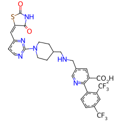 O=C1NC(=O)/C(=C\c2ccnc(N3CCC(CNCc4cnc(-c5ccc(C(F)(F)F)cc5C(F)(F)F)c(C(=O)O)c4)CC3)n2)S1